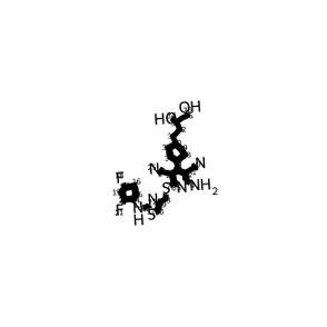 N#Cc1c(N)nc(SCc2csc(Nc3ccc(F)cc3F)n2)c(C#N)c1-c1ccc(CCC(O)CO)cc1